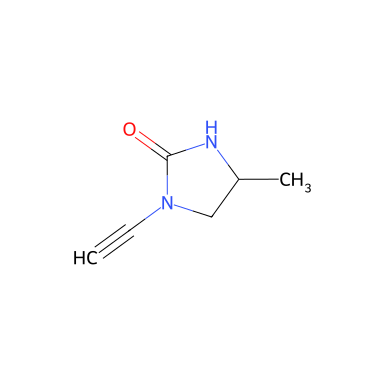 C#CN1CC(C)NC1=O